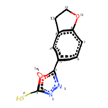 Sc1nnc(-c2ccc3c(c2)CCO3)o1